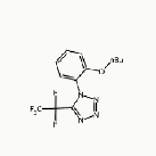 CCCCOc1ccccc1-n1nnnc1C(F)(F)C(F)(F)F